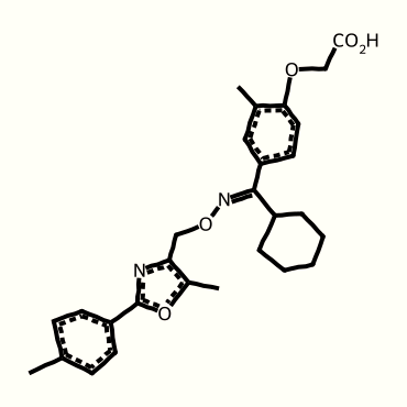 Cc1ccc(-c2nc(CO/N=C(/c3ccc(OCC(=O)O)c(C)c3)C3CCCCC3)c(C)o2)cc1